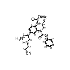 COC(=O)N1c2ccc(C(CN)CNCCC#N)cc2N(C(=O)Oc2cccnc2)C[C@@H]1C